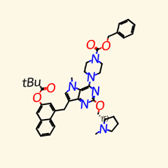 CN1CCC[C@H]1COc1nc(N2CCN(C(=O)OCc3ccccc3)CC2)c2c(n1)c(Cc1cc(OC(=O)C(C)(C)C)cc3ccccc13)cn2C